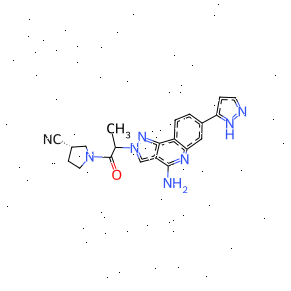 CC(C(=O)N1CC[C@H](C#N)C1)n1cc2c(N)nc3cc(-c4ccn[nH]4)ccc3c2n1